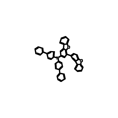 c1ccc(-c2ccc(N(c3ccc(-c4ccccc4)cc3)c3cc(-c4ccc5oc6ccccc6c5c4)c4oc5ccccc5c4c3)cc2)cc1